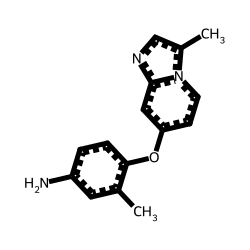 Cc1cc(N)ccc1Oc1ccn2c(C)cnc2c1